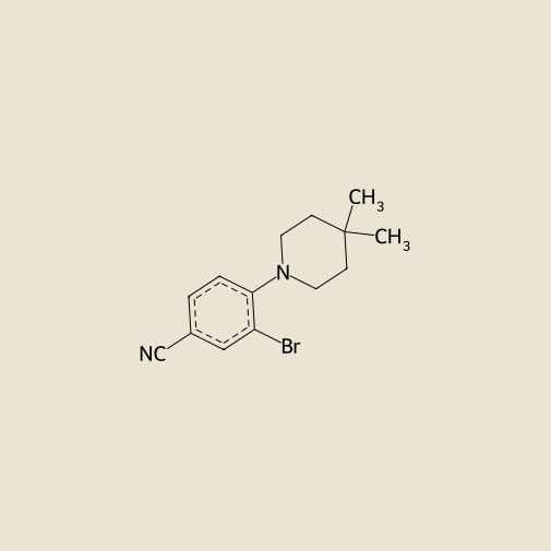 CC1(C)CCN(c2ccc(C#N)cc2Br)CC1